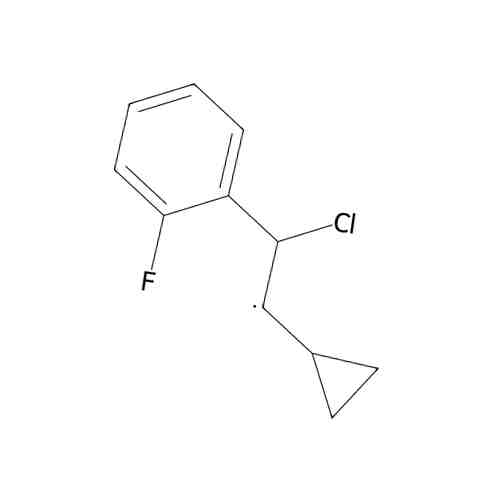 Fc1ccccc1C(Cl)[CH]C1CC1